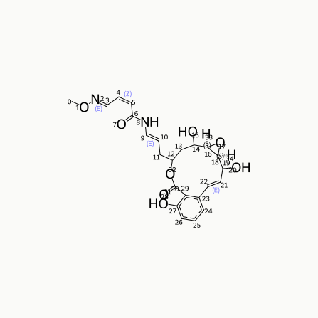 CO/N=C/C=C\C(=O)N/C=C/CC1CC(O)[C@H]2O[C@H]2C(O)/C=C/c2cccc(O)c2C(=O)O1